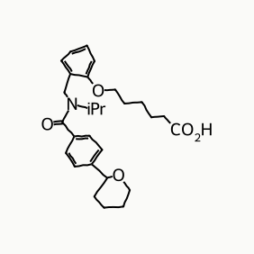 CC(C)N(Cc1ccccc1OCCCCCC(=O)O)C(=O)c1ccc(C2CCCCO2)cc1